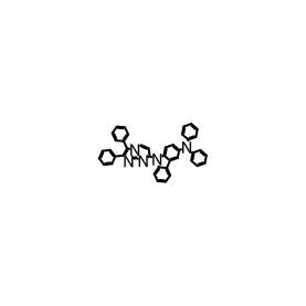 c1ccc(-c2nc3nc(-n4c5ccccc5c5cc(N(c6ccccc6)c6ccccc6)ccc54)ccn3c2-c2ccccc2)cc1